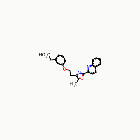 Cc1oc(-c2ccc3ccccc3n2)nc1CCOc1cccc(CC(=O)O)c1